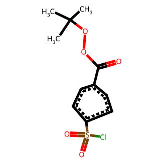 CC(C)(C)OOC(=O)c1ccc(S(=O)(=O)Cl)cc1